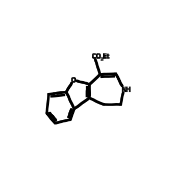 CCOC(=O)C1=CNCCc2c1oc1ccccc21